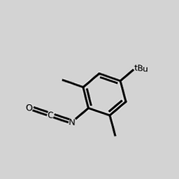 Cc1cc(C(C)(C)C)cc(C)c1N=C=O